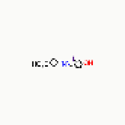 O=C(O)c1ccc(/C=N/N=C/c2ccc(O)cc2I)cc1